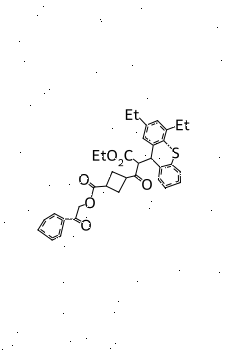 CCOC(=O)C(C(=O)C1CC(C(=O)OCC(=O)c2ccccc2)C1)C1c2ccccc2Sc2c(CC)cc(CC)cc21